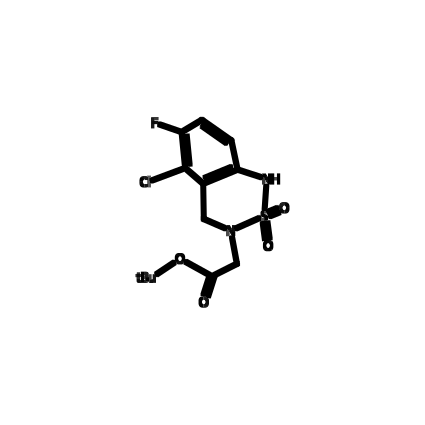 CC(C)(C)OC(=O)CN1Cc2c(ccc(F)c2Cl)NS1(=O)=O